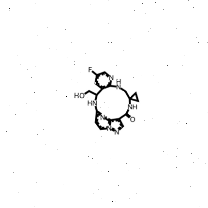 O=C1NC2(CC2)CNc2ncc(F)cc2C(CO)Nc2ccn3ncc1c3n2